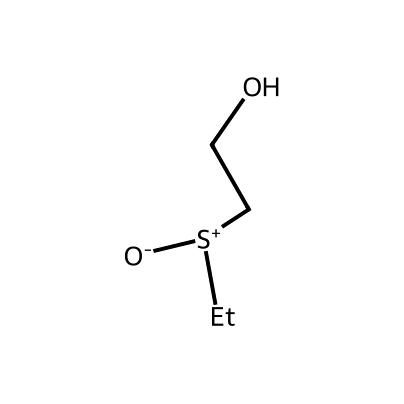 CC[S+]([O-])CCO